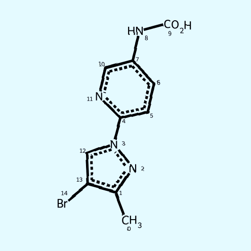 Cc1nn(-c2ccc(NC(=O)O)cn2)cc1Br